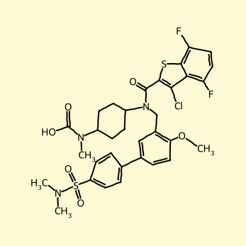 COc1ccc(-c2ccc(S(=O)(=O)N(C)C)cc2)cc1CN(C(=O)c1sc2c(F)ccc(F)c2c1Cl)C1CCC(N(C)C(=O)O)CC1